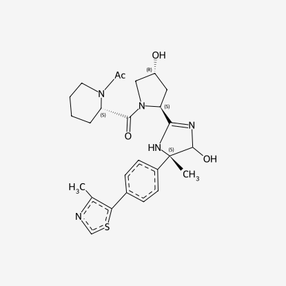 CC(=O)N1CCCC[C@H]1C(=O)N1C[C@H](O)C[C@H]1C1=NC(O)[C@](C)(c2ccc(-c3scnc3C)cc2)N1